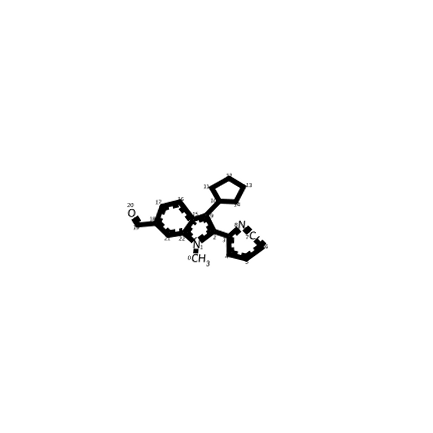 Cn1c(-c2ccccn2)c(C2CCCC2)c2ccc(C=O)cc21